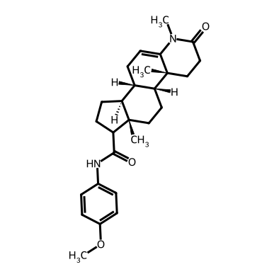 COc1ccc(NC(=O)C2CC[C@H]3[C@@H]4CC=C5N(C)C(=O)CC[C@]5(C)[C@@H]4CC[C@]23C)cc1